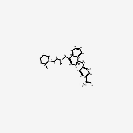 CC1CCCCN1CCNCc1ccc(Oc2ccc(C(N)=O)cn2)c2ccccc12